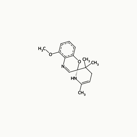 COc1cccc2c1N=C[C@@]1(NC(C)=CCC1(C)C)O2